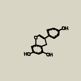 Oc1ccc(C2=COc3cc(O)cc(O)c3C2)cc1